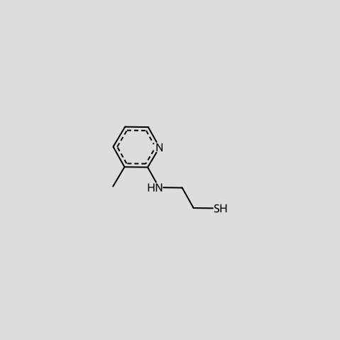 Cc1cccnc1NCCS